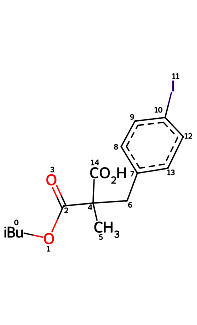 CCC(C)OC(=O)C(C)(Cc1ccc(I)cc1)C(=O)O